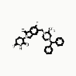 O=C1CCC(N2Cc3cc(CN4CCN(C(c5ccccc5)c5ccccc5)CC4C(F)(F)F)c(F)cc3C2=O)C(=O)N1